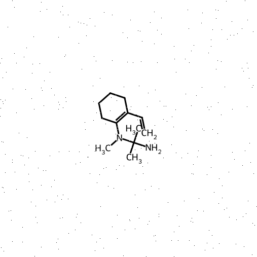 C=CC1=C(N(C)C(C)(C)N)CCCC1